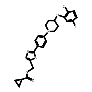 O=C(OCc1nnc(-c2ccc(N3CCC(Oc4cc(F)ccc4Cl)CC3)cc2)s1)C1CC1